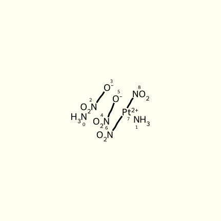 N.N.O=[N+]([O-])[O-].O=[N+]([O-])[O-].O=[N+]([O-])[Pt+2][N+](=O)[O-]